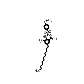 CCCCCCCCCCCCc1cc(C)c(NCS(=O)(=O)c2ccc(OC)cc2)c(C(=O)O)c1